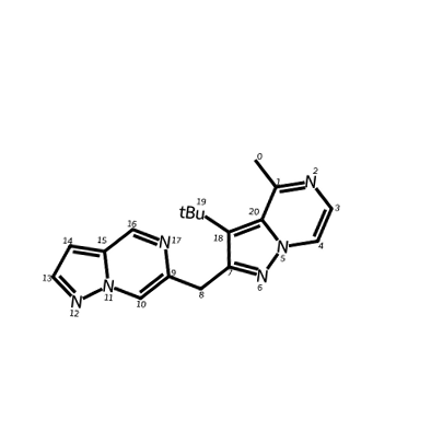 Cc1nccn2nc(Cc3cn4nccc4cn3)c(C(C)(C)C)c12